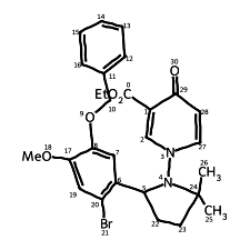 CCOC(=O)c1cn(N2C(c3cc(OCc4ccccc4)c(OC)cc3Br)CCC2(C)C)ccc1=O